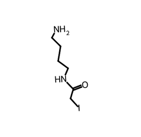 NCCCCNC(=O)CI